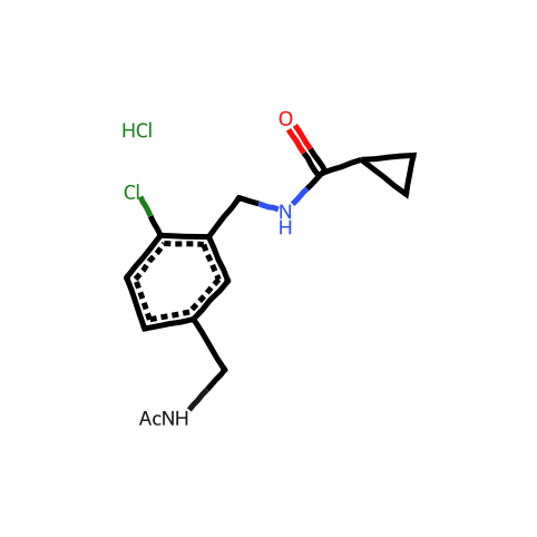 CC(=O)NCc1ccc(Cl)c(CNC(=O)C2CC2)c1.Cl